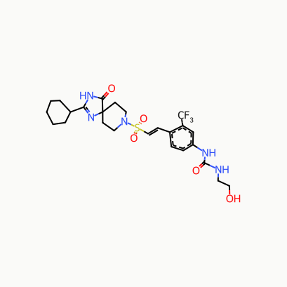 O=C(NCCO)Nc1ccc(/C=C/S(=O)(=O)N2CCC3(CC2)N=C(C2CCCCC2)NC3=O)c(C(F)(F)F)c1